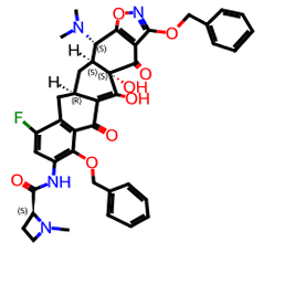 CN(C)[C@@H]1c2onc(OCc3ccccc3)c2C(=O)[C@@]2(O)C(O)=C3C(=O)c4c(c(F)cc(NC(=O)[C@@H]5CCN5C)c4OCc4ccccc4)C[C@H]3C[C@@H]12